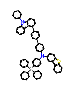 c1ccc(-n2c3ccccc3c3c(-c4ccc(-c5ccc(N(c6ccc([Si](c7ccccc7)(c7ccccc7)c7ccccc7)cc6)c6ccc7sc8ccccc8c7c6)cc5)cc4)cccc32)cc1